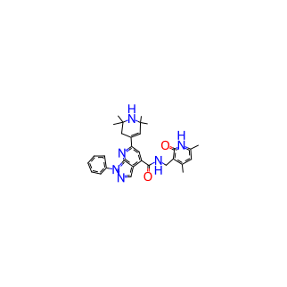 Cc1cc(C)c(CNC(=O)c2cc(C3=CC(C)(C)NC(C)(C)C3)nc3c2cnn3-c2ccccc2)c(=O)[nH]1